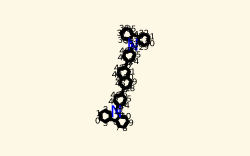 c1ccc2c(c1)c1ccccc1n2-c1ccc(-c2ccc3cc(-c4ccc(-n5c6ccccc6c6ccccc65)cc4)ccc3c2)cc1